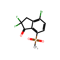 O=C1c2c(S(=O)(=O)C(F)(F)F)ccc(Br)c2CC1(F)F